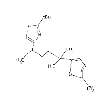 Cc1ncc(C(C)(C)CCC(C)c2csc(C(C)(C)C)n2)o1